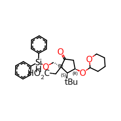 CC(C)(C)[C@@H]1[C@H](OC2CCCCO2)CC(=O)[C@]1(CO[SiH](c1ccccc1)c1ccccc1)CC(=O)O